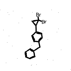 BrC1(Br)CC1c1ccc(Cc2ccccc2)cc1